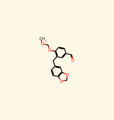 COCOc1ccc(C=O)cc1Cc1ccc2c(c1)OCO2